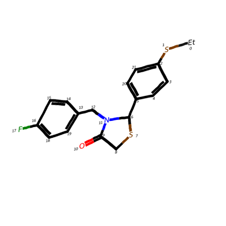 CCSc1ccc(C2SCC(=O)N2Cc2ccc(F)cc2)cc1